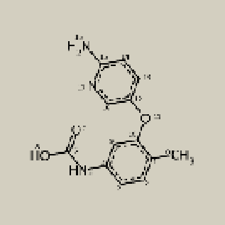 Cc1ccc(NC(=O)O)cc1Oc1ccc(N)nc1